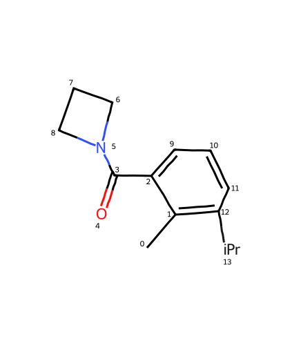 Cc1c(C(=O)N2CCC2)cccc1C(C)C